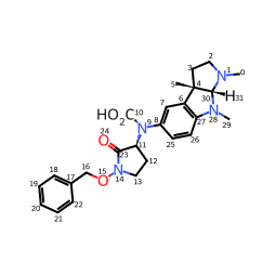 CN1CC[C@@]2(C)c3cc(N(C(=O)O)[C@H]4CCN(OCc5ccccc5)C4=O)ccc3N(C)[C@@H]12